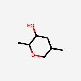 CC1COC(C)C(O)C1